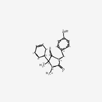 COc1ccc(CN2C(=O)N(C)C(C)(C3CC=CCC3)C2=O)cc1